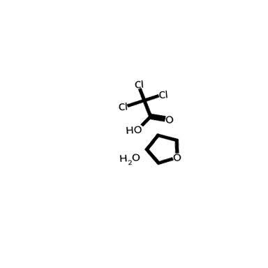 C1CCOC1.O.O=C(O)C(Cl)(Cl)Cl